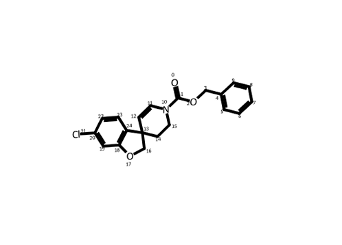 O=C(OCc1ccccc1)N1C=CC2(CC1)COc1cc(Cl)ccc12